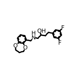 OC(CCc1cc(F)cc(F)c1)CNCc1cccc2c1OCCCO2